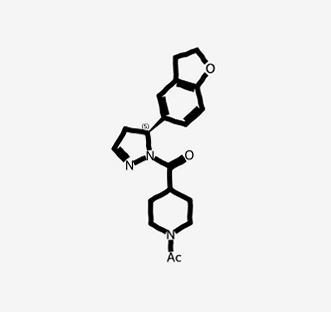 CC(=O)N1CCC(C(=O)N2N=CC[C@H]2c2ccc3c(c2)CCO3)CC1